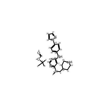 CC(C)(C)OC=O.CN(CC1CCNCC1)c1cc(Nc2ccc(-n3cccn3)cc2)ncn1